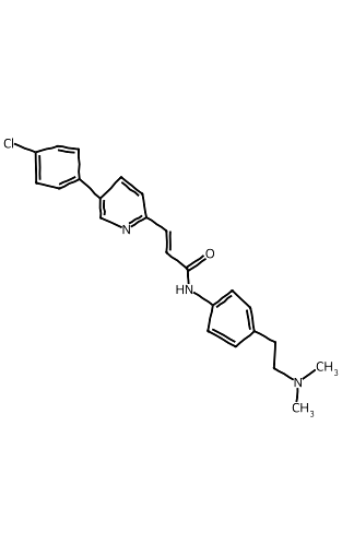 CN(C)CCc1ccc(NC(=O)C=Cc2ccc(-c3ccc(Cl)cc3)cn2)cc1